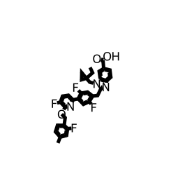 CCC1(Cn2c(Cc3cc(F)c(-c4ccc(F)c(OCc5ccc(C)cc5F)n4)cc3F)nc3ccc(C(=O)O)cc32)CC1